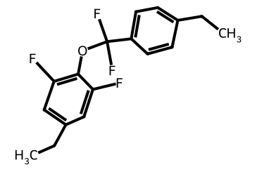 CCc1ccc(C(F)(F)Oc2c(F)cc(CC)cc2F)cc1